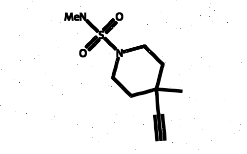 C#CC1(C)CCN(S(=O)(=O)NC)CC1